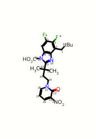 CC(C)(C)Cc1c(F)c(F)cc2c1nc(C(C)(C)CCn1cccc([N+](=O)[O-])c1=O)n2C(=O)O